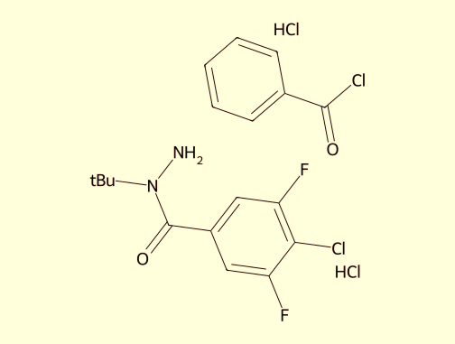 CC(C)(C)N(N)C(=O)c1cc(F)c(Cl)c(F)c1.Cl.Cl.O=C(Cl)c1ccccc1